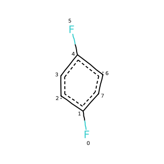 Fc1[c]cc(F)[c]c1